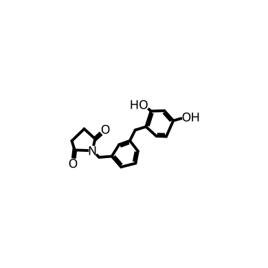 O=C1CCC(=O)N1Cc1cccc(Cc2ccc(O)cc2O)c1